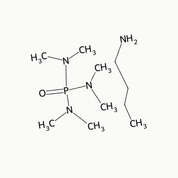 CCCCN.CN(C)P(=O)(N(C)C)N(C)C